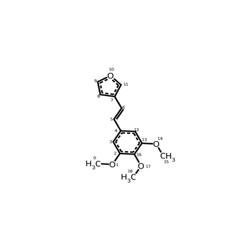 COc1cc(C=Cc2ccoc2)cc(OC)c1OC